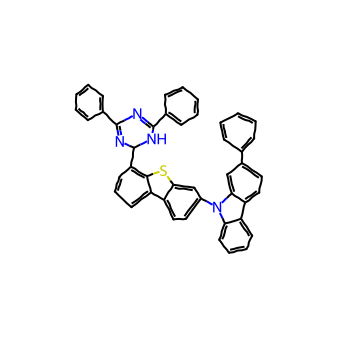 c1ccc(C2=NC(c3cccc4c3sc3cc(-n5c6ccccc6c6ccc(-c7ccccc7)cc65)ccc34)NC(c3ccccc3)=N2)cc1